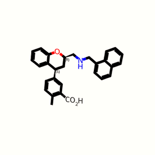 Cc1ccc([C@@H]2C[C@H](CNCc3cccc4ccccc34)Oc3ccccc32)cc1C(=O)O